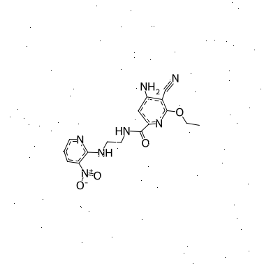 CCOc1nc(C(=O)NCCNc2ncccc2[N+](=O)[O-])cc(N)c1C#N